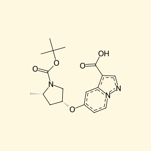 C[C@H]1C[C@@H](Oc2ccn3ncc(C(=O)O)c3c2)CN1C(=O)OC(C)(C)C